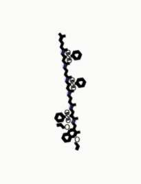 C=CCOc1c(C)c(C/C=C(\C)C(C/C=C(\C)CC/C=C(\C)CC(/C=C(\C)CC/C=C(\C)CC(/C=C(\C)CCC=C(C)C)S(=O)(=O)c2ccccc2)S(=O)(=O)c2ccccc2)S(=O)(=O)c2ccccc2)c(OCC=C)c2ccccc12